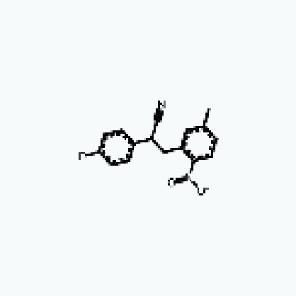 Cc1ccc([N+](=O)[O-])c(CC(C#N)c2ccc(F)cc2)c1